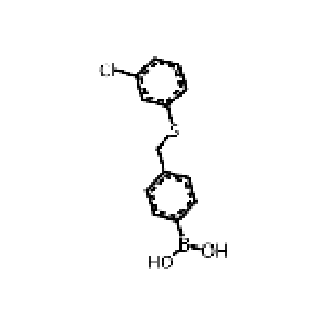 OB(O)c1ccc(CSc2cccc(Cl)c2)cc1